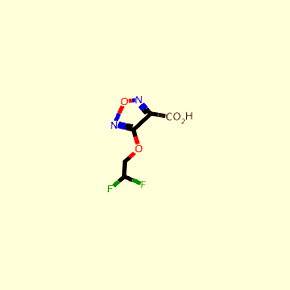 O=C(O)c1nonc1OCC(F)F